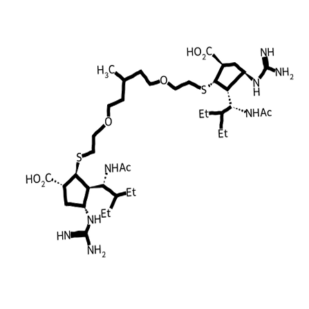 CCC(CC)[C@@H](NC(C)=O)[C@@H]1[C@H](SCCOCCC(C)CCOCCS[C@H]2[C@@H]([C@H](NC(C)=O)C(CC)CC)[C@H](NC(=N)N)C[C@@H]2C(=O)O)[C@@H](C(=O)O)C[C@H]1NC(=N)N